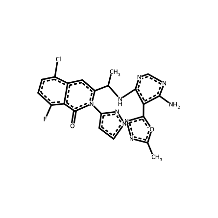 Cc1nnc(-c2c(N)ncnc2NC(C)c2cc3c(Cl)ccc(F)c3c(=O)n2-c2cc[nH]n2)o1